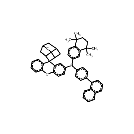 CC1(C)CCC(C)(C)c2cc(N(c3ccc(-c4cccc5ccccc45)cc3)c3ccc4c(c3)C3(c5ccccc5O4)C4CC5CC6CC3C64C5)ccc21